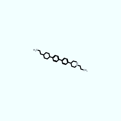 CCCC1CCC(c2ccc(-c3ccc(C4CC[SiH](CCC)CC4)cc3)cc2)CC1